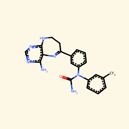 NC(=O)N(c1cccc(C2=Nc3c(N)ncnc3NCC2)c1)c1cccc(C(F)(F)F)c1